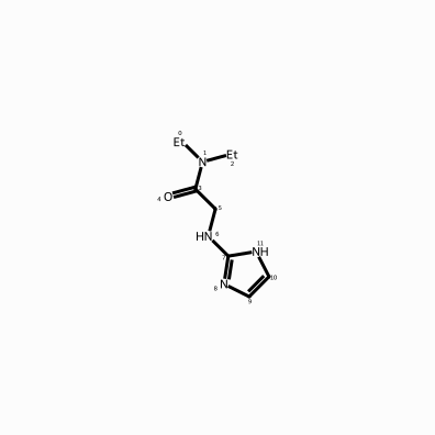 CCN(CC)C(=O)CNc1ncc[nH]1